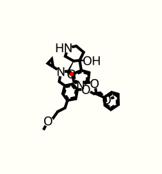 COCCCc1cc(CN(C(=O)[C@H]2CNCC[C@]2(O)c2ccnc(OCc3ccccc3)c2)C2CC2)cc(OCCOC)c1